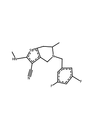 CNc1sc2c(c1C#N)CN(Cc1cc(F)cc(F)c1)C(C)C2